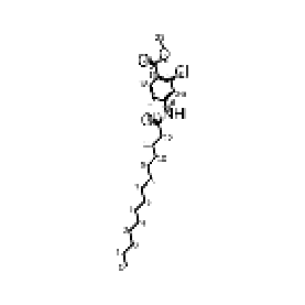 CCCCCCCCCCCCCC(=O)Nc1ccc(C(=O)OC)c(Cl)c1